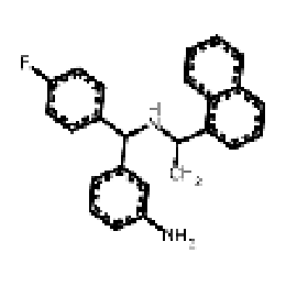 C[C@@H](NC(c1ccc(F)cc1)c1cccc(N)c1)c1cccc2ccccc12